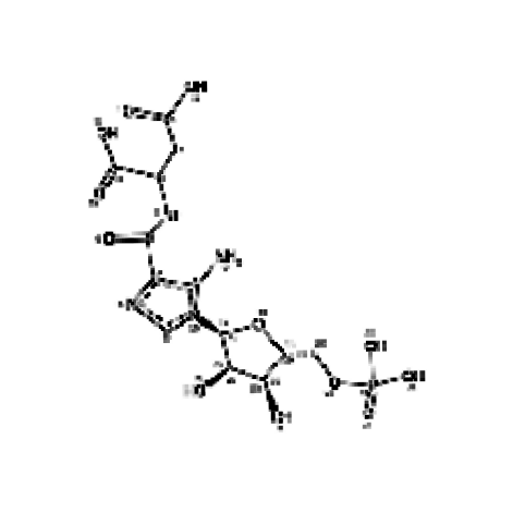 Nc1c(C(=O)NC(CC(=O)O)C(=O)O)ncn1[C@H]1O[C@H](COP(=O)(O)O)[C@@H](O)[C@H]1O